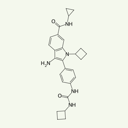 Nc1c(-c2ccc(NC(=O)NC3CCC3)cc2)n(C2CCC2)c2cc(C(=O)NC3CC3)ccc12